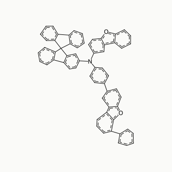 c1ccc(-c2cccc3c2oc2ccc(-c4ccc(N(c5ccc6c(c5)C5(c7ccccc7-c7ccccc75)c5ccccc5-6)c5ccc6oc7ccccc7c6c5)cc4)cc23)cc1